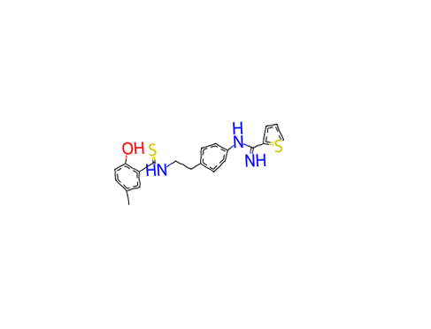 Cc1ccc(O)c(C(=S)NCCc2ccc(NC(=N)c3cccs3)cc2)c1